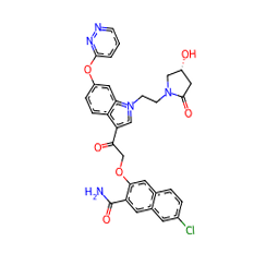 NC(=O)c1cc2cc(Cl)ccc2cc1OCC(=O)c1cn(CCN2C[C@H](O)CC2=O)c2cc(Oc3cccnn3)ccc12